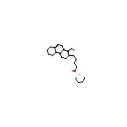 C[C@@H]1CCCN(C(=O)CC[C@@H](C)[C@H]2CC[C@H]3[C@@H]4CC=C5C[C@@H](O)CC[C@]5(C)[C@H]4CC[C@]23C)O1